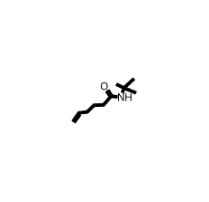 C=CCCCC(=O)NC(C)(C)C